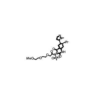 COCCOCCOCC(=O)N(n1c(=O)[nH]c2cc(C(C)C)c(-c3ccnn3C)cc2c1=O)S(C)(=O)=O